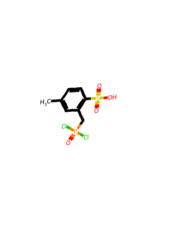 Cc1ccc(S(=O)(=O)O)c(CP(=O)(Cl)Cl)c1